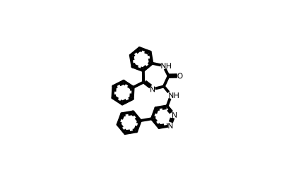 O=C1Nc2ccccc2C(c2ccccc2)=NC1Nc1cc(-c2ccccc2)cnn1